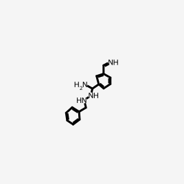 N=Cc1cccc(C(N)NNCc2ccccc2)c1